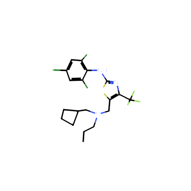 CCCN(Cc1sc(Nc2c(Cl)cc(Cl)cc2Cl)nc1C(F)(F)F)CC1CCC1